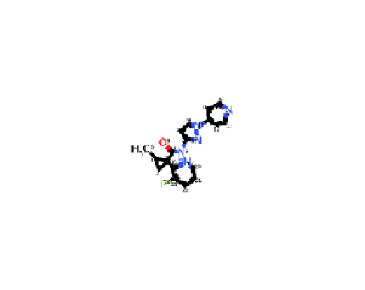 CC1CC1(C(=O)Nc1ccn(-c2ccncc2)n1)c1ncccc1F